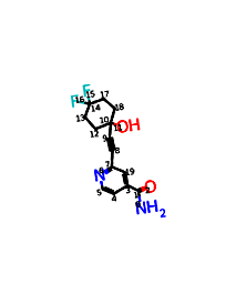 NC(=O)c1ccnc(C#CC2(O)CCC(F)(F)CC2)c1